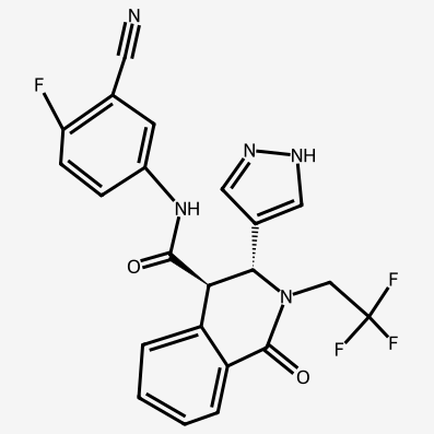 N#Cc1cc(NC(=O)[C@@H]2c3ccccc3C(=O)N(CC(F)(F)F)[C@H]2c2cn[nH]c2)ccc1F